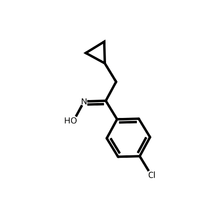 O/N=C(/CC1CC1)c1ccc(Cl)cc1